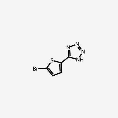 Brc1ccc(-c2nnn[nH]2)s1